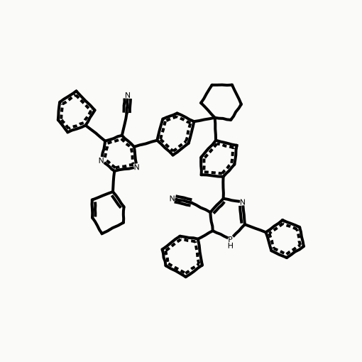 N#CC1=C(c2ccc(C3(c4ccc(-c5nc(C6=CCCC=C6)nc(-c6ccccc6)c5C#N)cc4)CCCCC3)cc2)N=C(c2ccccc2)PC1c1ccccc1